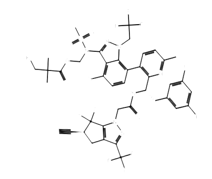 C#C[C@@H]1Cc2c(C(F)(F)F)nn(CC(=O)N[C@@H](Cc3cc(F)cc(F)c3)c3nc(C)ccc3-c3ccc(Cl)c4c(N(COC(=O)C(C)(C)CO)S(C)(=O)=O)nn(CC(F)(F)F)c34)c2C1(F)F